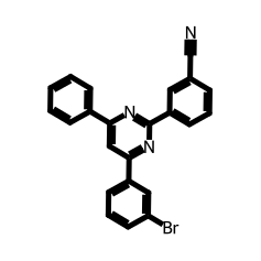 N#Cc1cccc(-c2nc(-c3ccccc3)cc(-c3cccc(Br)c3)n2)c1